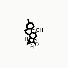 CC1=CC2=CCC3C(C(O)C[C@]4(C)C(=O)[C@H]5C[C@H]5C34)[C@@]2(C)CC1